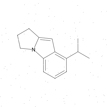 CC(C)c1cccc2c1cc1n2CCC1